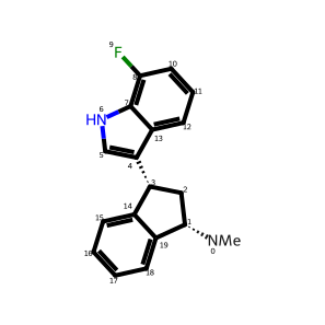 CN[C@H]1C[C@@H](c2c[nH]c3c(F)cccc23)c2ccccc21